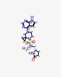 CN(C[C@@H]1CCC(=O)N1)S(=O)(=O)N1CCN(c2ncnc3[nH]ccc23)CC12CC2